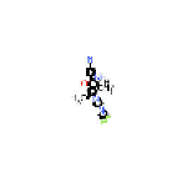 CCc1cc2c(cc1N1CCC(N3CCC(F)(F)CC3)CC1)C(C)(C)c1[nH]c3cc(C#N)ccc3c1C2=O